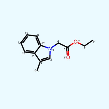 [CH2]c1cn(CC(=O)OCC)c2ccccc12